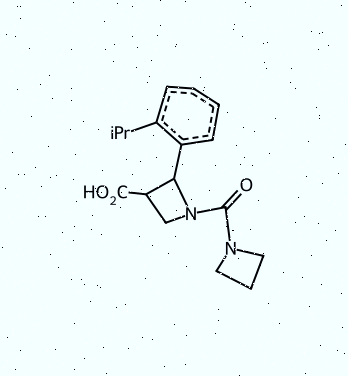 CC(C)c1ccccc1C1C(C(=O)O)CN1C(=O)N1CCC1